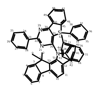 CC1(C)c2ccccc2-c2ccc3c4ccccc4n(-c4nc(-c5ccccc5)nc5c4[Si](c4ccccc4)(c4ccccc4)c4ccccc4-5)c3c21